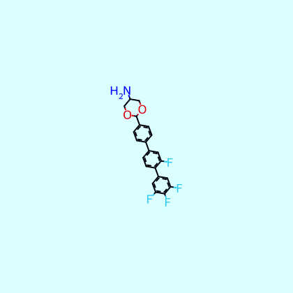 NC1COC(c2ccc(-c3ccc(-c4cc(F)c(F)c(F)c4)c(F)c3)cc2)OC1